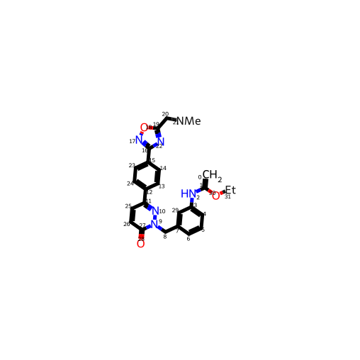 C=C(Nc1cccc(Cn2nc(-c3ccc(-c4noc(CNC)n4)cc3)ccc2=O)c1)OCC